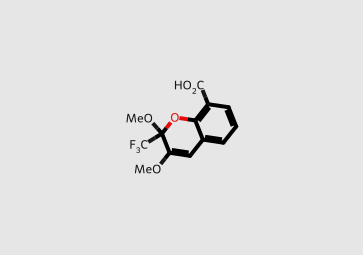 COC1=Cc2cccc(C(=O)O)c2OC1(OC)C(F)(F)F